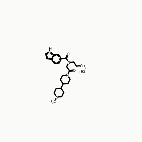 CCCN(CC(=O)N1CCC(C2CCN(C)CC2)CC1)C(=O)c1ccc2cc[nH]c2c1.Cl